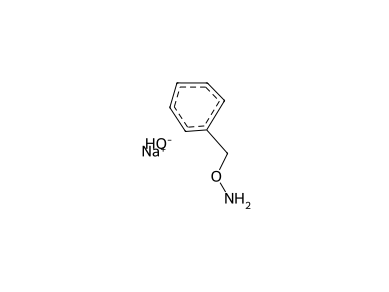 NOCc1ccccc1.[Na+].[OH-]